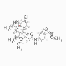 CCC[C@H](CC(=O)Nc1ccc2c(c1)CO/C2=N/OC)/N=C(/c1ccc(Cl)cc1)c1c(-n2cnnc2C)sc(C)c1C